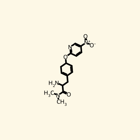 CN(C)C(=O)C(N)CC1=CCC(Oc2ccc([N+](=O)[O-])cn2)C=C1